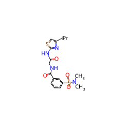 CC(C)c1csc(NC(=O)CNC(=O)c2cccc(S(=O)(=O)N(C)C)c2)n1